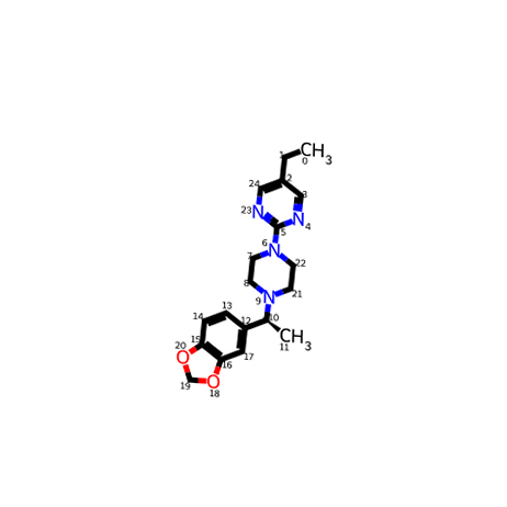 CCc1cnc(N2CCN([C@@H](C)c3ccc4c(c3)OCO4)CC2)nc1